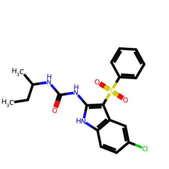 CCC(C)NC(=O)Nc1[nH]c2ccc(Cl)cc2c1S(=O)(=O)c1ccccc1